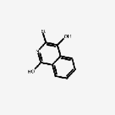 CCc1nc(O)c2ccccc2c1O